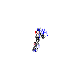 Nc1c(-c2ncc[nH]2)c(=O)c2ccc(-c3ccc(CC(=O)NCc4ccncc4)cc3)nc2n1C1CCCC1